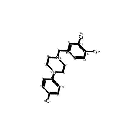 [O]c1ccc(N2CCN(Cc3ccc(Cl)c(Cl)c3)CC2)cc1